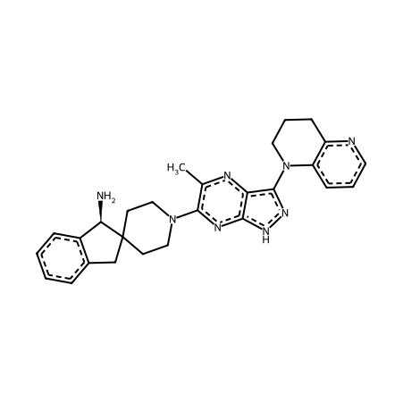 Cc1nc2c(N3CCCc4ncccc43)n[nH]c2nc1N1CCC2(CC1)Cc1ccccc1[C@H]2N